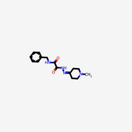 CN1CCC(=NNC(=O)C(=O)NCc2ccccc2)CC1